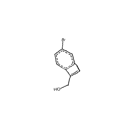 OCC1=Cc2cc(Br)ccc21